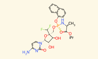 CC(C)OC(=O)[C@H](C)NP(=S)(OC[C@@]1(C(F)F)O[C@@H](n2ccc(N)nc2=O)[C@@H](O)[C@@H]1O)Oc1cccc2ccccc12